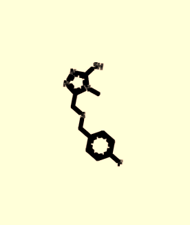 Cn1c(S)nnc1CSCc1ccc(F)cc1